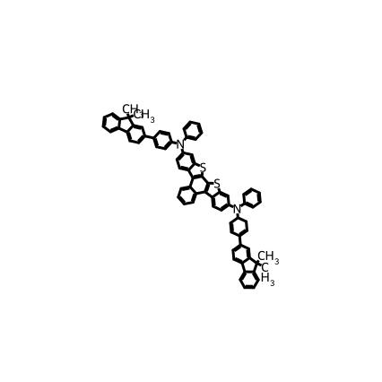 CC1(C)c2ccccc2-c2ccc(C3=CCC(N(c4ccccc4)c4ccc5c(c4)sc4c6sc7cc(N(c8ccccc8)c8ccc(-c9ccc%10c(c9)C(C)(C)c9ccccc9-%10)cc8)ccc7c6c6ccccc6c54)C=C3)cc21